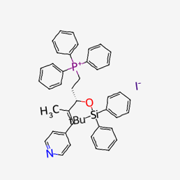 CC(=Cc1ccncc1)[C@H](CC[P+](c1ccccc1)(c1ccccc1)c1ccccc1)O[Si](c1ccccc1)(c1ccccc1)C(C)(C)C.[I-]